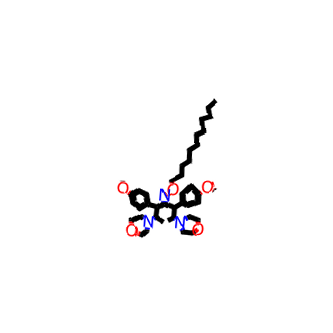 CCCCCCCCCCCCON=C(C(c1ccc(OC)cc1)C(C)N1CCOCC1)C(c1ccc(OC)cc1)C(C)N1CCOCC1